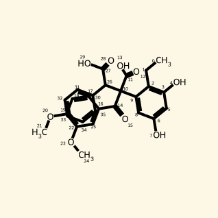 CCc1c(O)cc(O)cc1C(C(=O)O)(C(=O)c1ccc(OC)c(OC)c1)C(C(=O)O)c1ccccc1